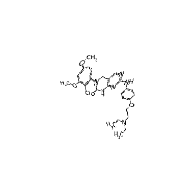 CCN(CC)CCOc1ccc(Nc2ncc3c(n2)NC(=O)N(c2cc(OC)cc(OC)c2Cl)C3)cc1